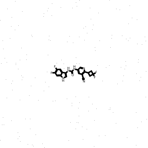 N#Cc1cc(NC(=O)Nc2c[nH]c3cc(F)c(F)cc23)cnc1C1CC(F)(F)C1